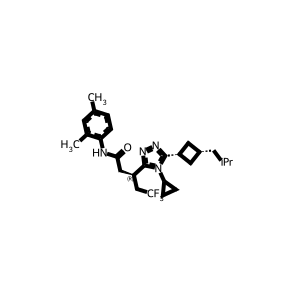 Cc1ccc(NC(=O)C[C@H](CC(F)(F)F)c2nnc([C@H]3C[C@@H](CC(C)C)C3)n2C2CC2)c(C)c1